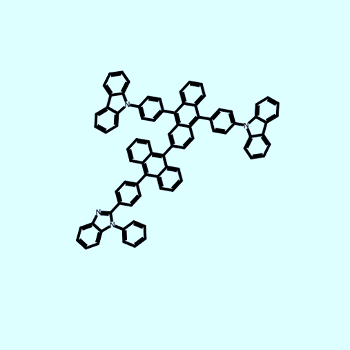 c1ccc(-n2c(-c3ccc(-c4c5ccccc5c(-c5ccc6c(-c7ccc(-n8c9ccccc9c9ccccc98)cc7)c7ccccc7c(-c7ccc(-n8c9ccccc9c9ccccc98)cc7)c6c5)c5ccccc45)cc3)nc3ccccc32)cc1